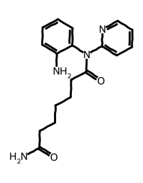 NC(=O)CCCCCC(=O)N(c1ccccn1)c1ccccc1N